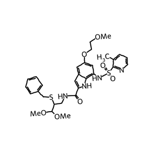 COCCOc1cc(NS(=O)(=O)c2ncccc2C)c2[nH]c(C(=O)NCC(SCc3ccccc3)C(OC)OC)cc2c1